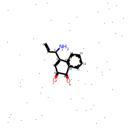 C=CC(N)C1=CC(=O)C(=O)c2ccccc21